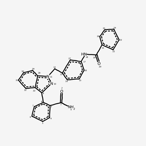 NC(=O)c1ccccc1-c1nn(Cc2cccc(NC(=O)c3ccccc3)c2)c2ccccc12